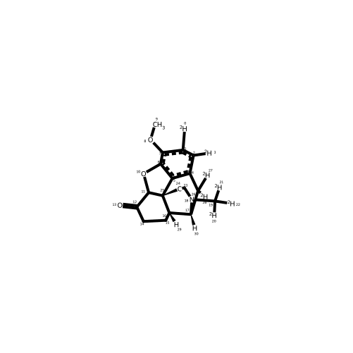 [2H]c1c([2H])c2c3c(c1OC)OC1C(=O)CC[C@H]4[C@H](N(C([2H])([2H])[2H])CC[C@]314)C2([2H])[2H]